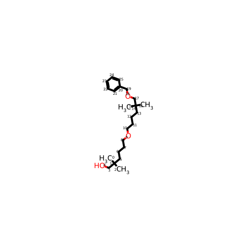 CC(C)(CO)CCCCOCCCCC(C)(C)COCc1ccccc1